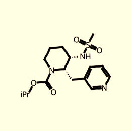 CC(C)OC(=O)N1CCC[C@H](NS(C)(=O)=O)[C@@H]1Cc1cccnc1